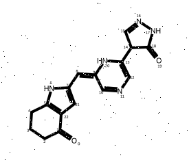 O=C1CCCc2[nH]c(C=C3C=NC=C(C4C=NNC4=O)N3)cc21